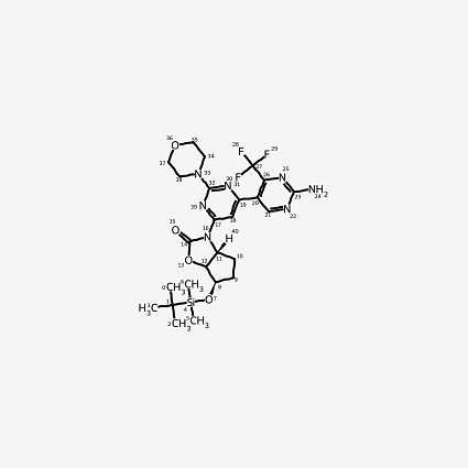 CC(C)(C)[Si](C)(C)O[C@@H]1CC[C@@H]2C1OC(=O)N2c1cc(-c2cnc(N)nc2C(F)(F)F)nc(N2CCOCC2)n1